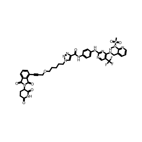 CN(c1ncccc1CNc1nc(Nc2ccc(NC(=O)c3cn(CCCCCOCC#Cc4cccc5c4C(=O)N(C4CCC(=O)NC4=O)C5=O)nn3)cc2)ncc1C(F)(F)F)S(C)(=O)=O